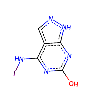 Oc1nc(NI)c2cn[nH]c2n1